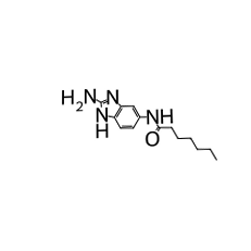 CCCCCCC(=O)Nc1ccc2[nH]c(N)nc2c1